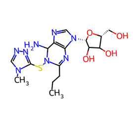 CCCC1=Nc2c(ncn2[C@@H]2O[C@H](CO)C(O)C2O)C(N)N1Sc1nncn1C